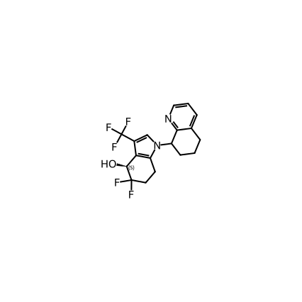 O[C@H]1c2c(C(F)(F)F)cn(C3CCCc4cccnc43)c2CCC1(F)F